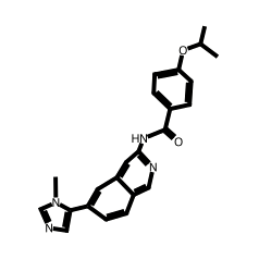 CC(C)Oc1ccc(C(=O)Nc2cc3cc(-c4cncn4C)ccc3cn2)cc1